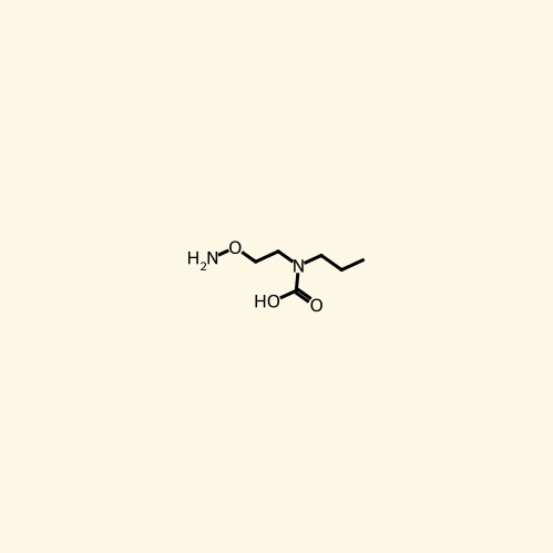 CCCN(CCON)C(=O)O